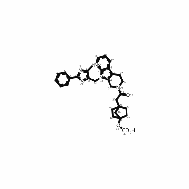 Cc1nc(-c2ccccc2)sc1Cn1c2c(c3cccnc31)CCN(C(=O)CC13CCC(OC(=O)O)(CC1)C3)C2